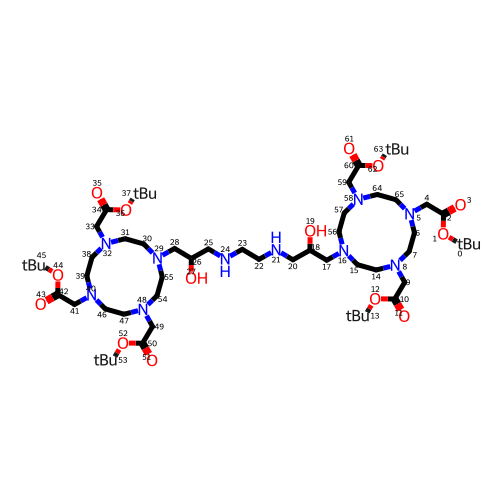 CC(C)(C)OC(=O)CN1CCN(CC(=O)OC(C)(C)C)CCN(CC(O)CNCCNCC(O)CN2CCN(CC(=O)OC(C)(C)C)CCN(CC(=O)OC(C)(C)C)CCN(CC(=O)OC(C)(C)C)CC2)CCN(CC(=O)OC(C)(C)C)CC1